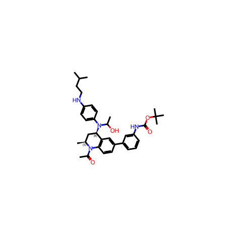 CC(=O)N1c2ccc(-c3cccc(NC(=O)OC(C)(C)C)c3)cc2[C@H](N(c2ccc(NCCC(C)C)cc2)C(C)O)C[C@@H]1C